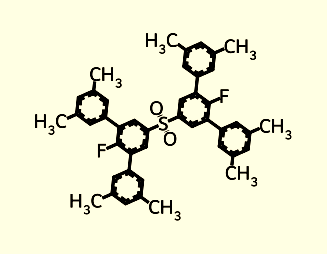 Cc1cc(C)cc(-c2cc(S(=O)(=O)c3cc(-c4cc(C)cc(C)c4)c(F)c(-c4cc(C)cc(C)c4)c3)cc(-c3cc(C)cc(C)c3)c2F)c1